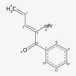 C=C/C=C(\CCC)C(=O)c1ccccc1